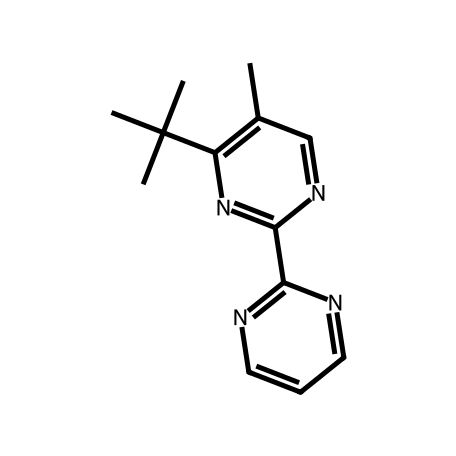 Cc1cnc(-c2ncccn2)nc1C(C)(C)C